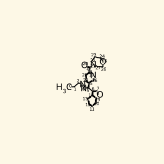 CCCn1nc(-c2coc3ccccc23)c2cnc(C(=O)N3CCCOCC3)cc21